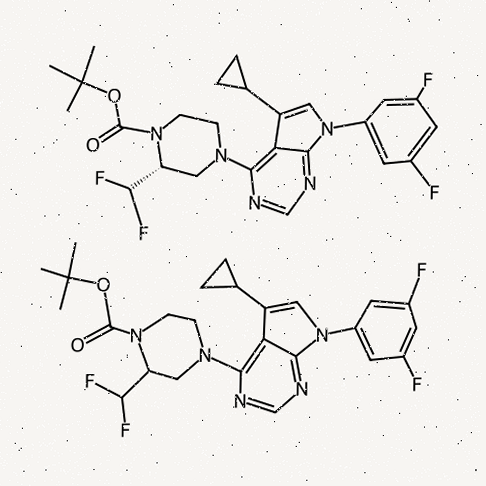 CC(C)(C)OC(=O)N1CCN(c2ncnc3c2c(C2CC2)cn3-c2cc(F)cc(F)c2)CC1C(F)F.CC(C)(C)OC(=O)N1CCN(c2ncnc3c2c(C2CC2)cn3-c2cc(F)cc(F)c2)C[C@@H]1C(F)F